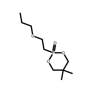 CCCOCCP1(=O)OCC(C)(C)CO1